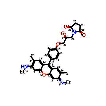 CC/N=c1/cc2oc3cc(NCC)c(C)cc3c(-c3ccc(OCC(=O)CN4C(=O)CCC4=O)cc3)c-2cc1C